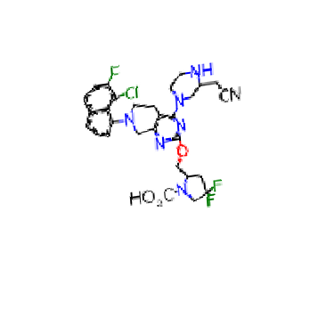 N#CCC1CN(c2nc(OCC3CC(F)(F)CN3C(=O)O)nc3c2CCN(c2cccc4ccc(F)c(Cl)c24)C3)CCN1